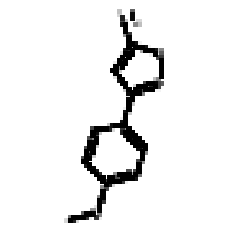 COc1ccc(-c2cc(N)sn2)cc1